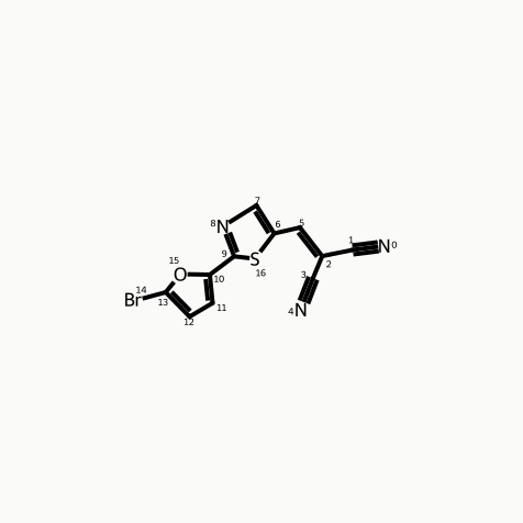 N#CC(C#N)=Cc1cnc(-c2ccc(Br)o2)s1